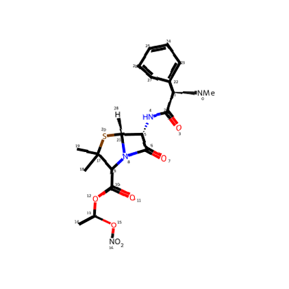 CN[C@@H](C(=O)N[C@@H]1C(=O)N2C(C(=O)OC(C)O[N+](=O)[O-])C(C)(C)S[C@H]12)c1ccccc1